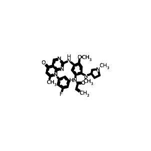 C=CC(=O)Nc1cc(Nc2ncc3c(=O)cc(C)n(-c4cccc(F)c4)c3n2)c(OC)cc1N(C)C1CCN(C)C1